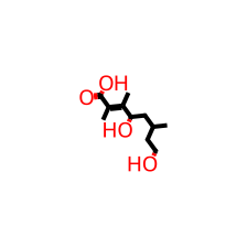 CC(C(=O)O)=C(C)C(O)CC(C)CCO